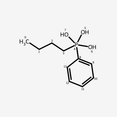 CCCCP(O)(O)(O)c1ccccc1